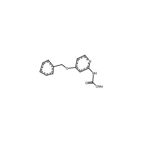 COC(=O)Nc1cc(OCc2ccccc2)ccn1